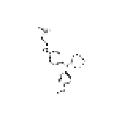 CNCCOc1ccc(C(=C2CCCCC2)c2ccc(OC)cc2)cc1